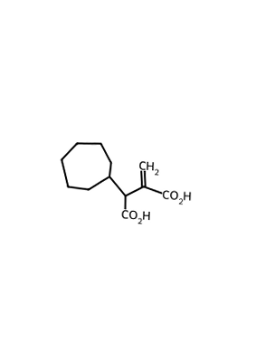 C=C(C(=O)O)C(C(=O)O)C1CCCCCC1